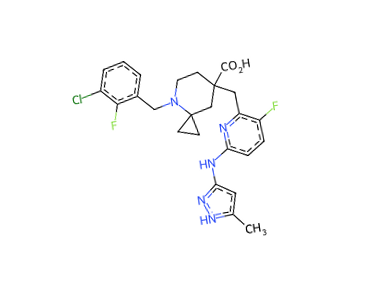 Cc1cc(Nc2ccc(F)c(CC3(C(=O)O)CCN(Cc4cccc(Cl)c4F)C4(CC4)C3)n2)n[nH]1